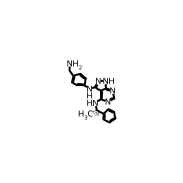 C[C@H](Nc1ncnc2[nH]nc(Nc3ccc(CN)cc3)c12)c1ccccc1